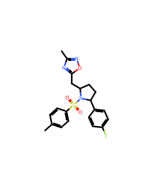 Cc1ccc(S(=O)(=O)N2C(Cc3nc(C)no3)CCC2c2ccc(F)cc2)cc1